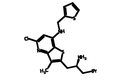 Cc1c(C[C@@H](N)CC(C)C)sc2c(NCc3cccs3)cc(Cl)nc12